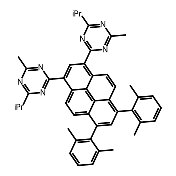 Cc1nc(-c2cc(-c3nc(C)nc(C(C)C)n3)c3ccc4c(-c5c(C)cccc5C)cc(-c5c(C)cccc5C)c5ccc2c3c54)nc(C(C)C)n1